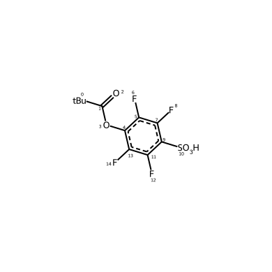 CC(C)(C)C(=O)Oc1c(F)c(F)c(S(=O)(=O)O)c(F)c1F